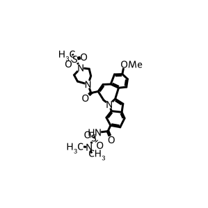 COc1ccc2c(c1)C=C(C(=O)N1CCN(S(C)(=O)=O)CC1)Cn1c-2cc2ccc(C(=O)NS(=O)(=O)N(C)C)cc21